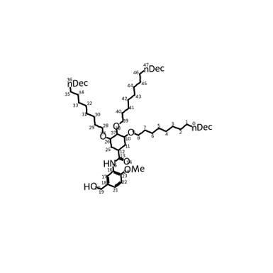 CCCCCCCCCCCCCCCCCCOC1CC(C(=O)Nc2cc(CO)ccc2OC)CC(OCCCCCCCCCCCCCCCCCC)C1OCCCCCCCCCCCCCCCCCC